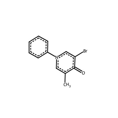 Cc1cn(-c2ccccc2)cc(Br)c1=O